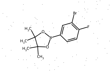 CC1(C)OB(c2ccc(F)c(Br)c2)OC1(C)C